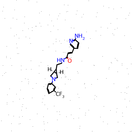 Nc1ccc(/C=C/C(=O)NCCC2[C@H]3CN(c4cccc(C(F)(F)F)c4)C[C@@H]23)cn1